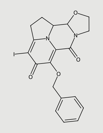 O=C1c2c(OCc3ccccc3)c(=O)c(I)c3n2C(CC3)C2OCCN12